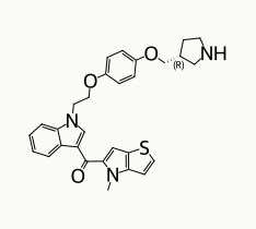 Cn1c(C(=O)c2cn(CCOc3ccc(OC[C@@H]4CCNC4)cc3)c3ccccc23)cc2sccc21